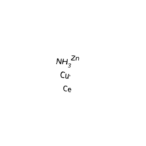 N.[Ce].[Cu].[Zn]